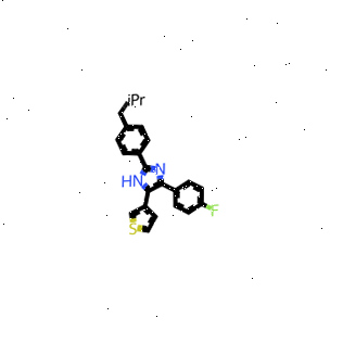 CC(C)Cc1ccc(-c2nc(-c3ccc(F)cc3)c(-c3ccsc3)[nH]2)cc1